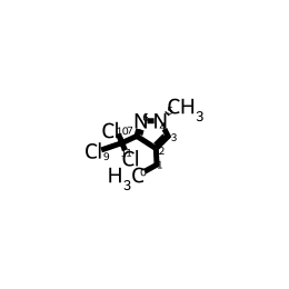 CCc1cn(C)nc1C(Cl)(Cl)Cl